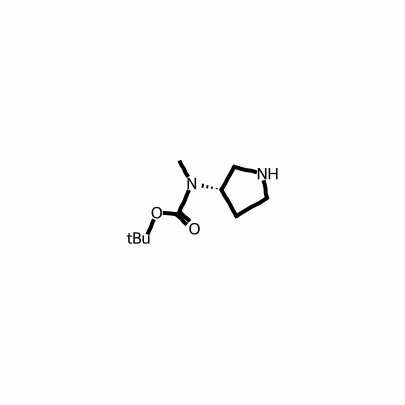 CN(C(=O)OC(C)(C)C)[C@H]1CCNC1